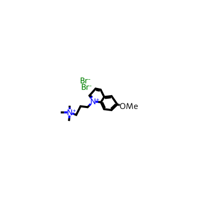 COc1ccc2c(ccc[n+]2CCC[N+](C)(C)C)c1.[Br-].[Br-]